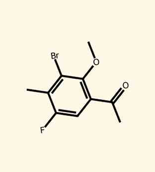 COc1c(C(C)=O)cc(F)c(C)c1Br